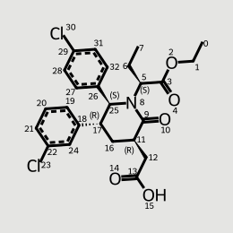 CCOC(=O)[C@H](CC)N1C(=O)[C@@H](CC(=O)O)C[C@H](c2cccc(Cl)c2)[C@H]1c1ccc(Cl)cc1